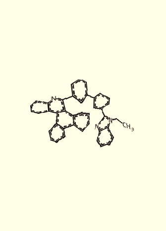 CCn1c(-c2cccc(-c3cccc(-c4nc5ccccc5c5c6ccccc6c6ccccc6c45)c3)c2)nc2ccccc21